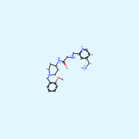 COc1ccccc1CN1CCC(NC(=O)CNCc2cc(CN)ccn2)CC1